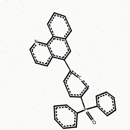 O=P(c1ccccc1)(c1ccccc1)c1ccc(-c2cc3ccccc3c3ncccc23)cc1